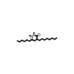 CCCCCCCCC(CCCCCCCC)C(=O)N(C)NC